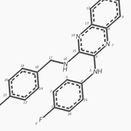 Fc1ccc(Nc2nc3ccccc3nc2NCc2ccc(Cl)cc2)cc1